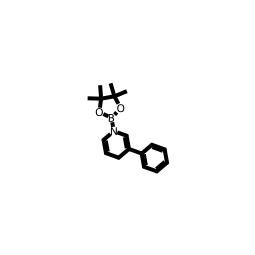 CC1(C)OB(N2C=CCC(c3ccccc3)=C2)OC1(C)C